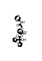 O=C(C[N+]12CCC(CC1)[C@@H](OC(=O)C(O)(c1cccs1)c1cccs1)C2)Nc1cnccn1.[Cl-]